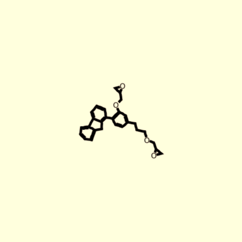 c1ccc2c(c1)Cc1c-2cccc1-c1ccc(CCCOCC2CO2)cc1OCC1CO1